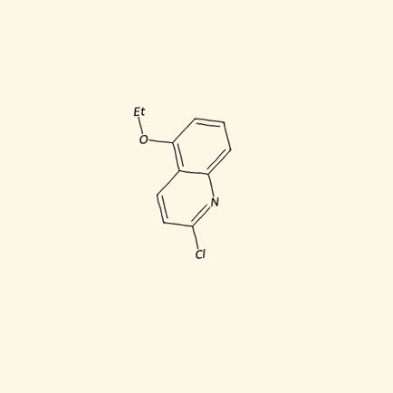 CCOc1cccc2nc(Cl)ccc12